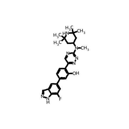 CN(c1ncc(-c2ccc(-c3cc(F)c4[nH]ncc4c3)cc2O)nn1)C1CC(C)(C)NC(C)(C)C1